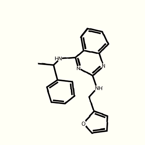 CC(Nc1nc(NCc2ccco2)nc2ccccc12)c1ccccc1